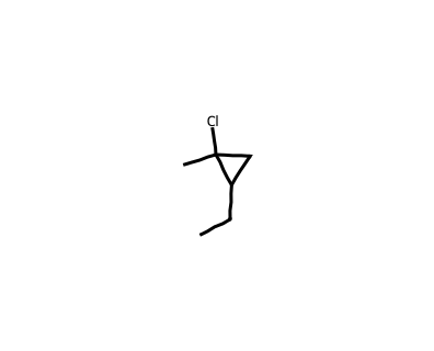 CCC1CC1(C)Cl